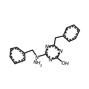 NN(Cc1ccccc1)c1nc(O)nc(Cc2ccccc2)n1